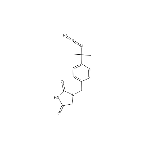 CC(C)(N=[N+]=[N-])c1ccc(CN2CC(=O)NC2=O)cc1